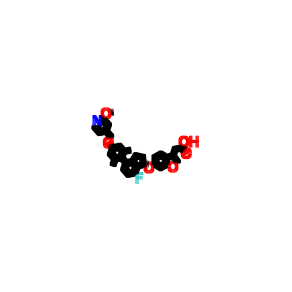 COc1cc(COc2cc(C)c(-c3ccc(F)c4c3CC[C@H]4Oc3ccc4c(c3)OCC4CC(=O)O)c(C)c2)ccn1